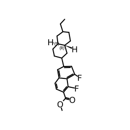 CCC1CC[C@@H]2CC(c3cc(F)c4c(F)c(C(=O)OC)ccc4c3)CC[C@H]2C1